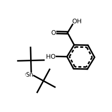 C[C](C)(C)[Sn][C](C)(C)C.O=C(O)c1ccccc1O